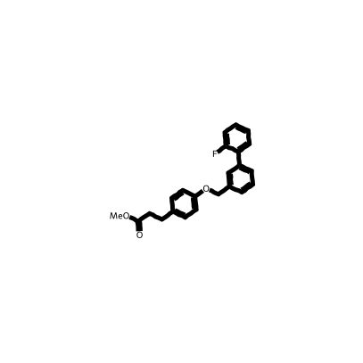 COC(=O)CCc1ccc(OCc2cccc(-c3ccccc3F)c2)cc1